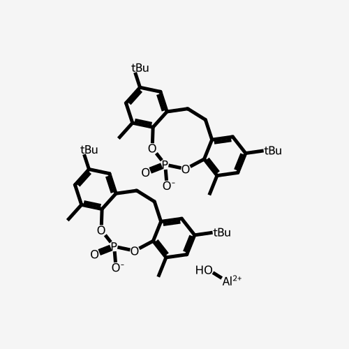 Cc1cc(C(C)(C)C)cc2c1OP(=O)([O-])Oc1c(C)cc(C(C)(C)C)cc1CC2.Cc1cc(C(C)(C)C)cc2c1OP(=O)([O-])Oc1c(C)cc(C(C)(C)C)cc1CC2.[OH][Al+2]